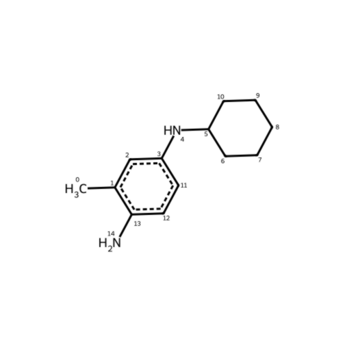 Cc1cc(NC2CCCCC2)ccc1N